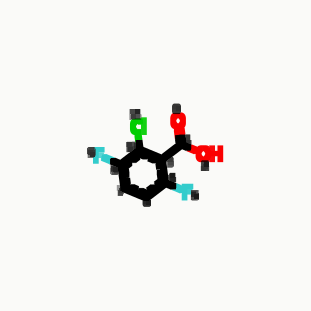 O=C(O)c1c(F)ccc(F)c1Cl